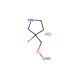 Cl.O=COCC1(F)CCNC1